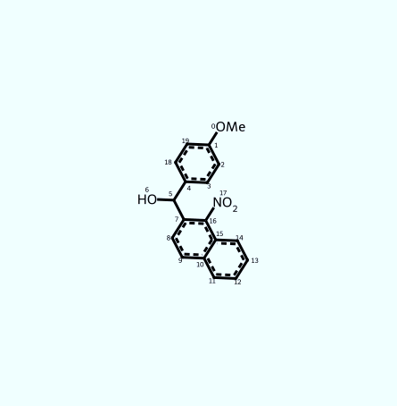 COc1ccc(C(O)c2ccc3ccccc3c2[N+](=O)[O-])cc1